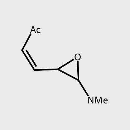 CNC1OC1/C=C\C(C)=O